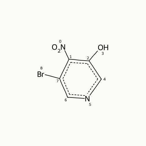 O=[N+]([O-])c1c(O)cncc1Br